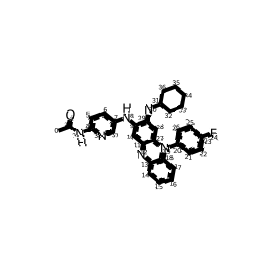 CC(=O)Nc1ccc(Nc2cc3nc4ccccc4n(-c4ccc(F)cc4)c-3c/c2=N\C2CCCCC2)cn1